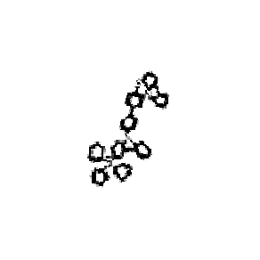 c1ccc([Si](c2ccccc2)(c2ccccc2)c2ccc3c(c2)c2ccccc2n3-c2ccc(-c3ccc4c(c3)-n3c5ccccc5c5cccc(c53)S4)cc2)cc1